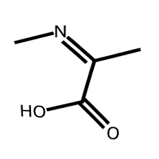 C/N=C(/C)C(=O)O